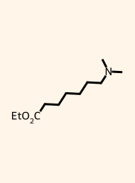 CCOC(=O)CCCCCCN(C)C